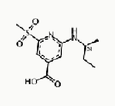 CC[C@H](C)Nc1cc(C(=O)O)cc(S(C)(=O)=O)n1